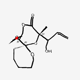 C=CC(O)[C@]1(C)O[C@]2(CCCCO2)[C@@]2(CCCCO2)OC1=O